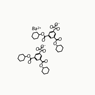 O=C(OC1CCCCC1)c1cc(C(=O)OC2CCCCC2)cc(S(=O)(=O)[O-])c1.O=C(OC1CCCCC1)c1cc(C(=O)OC2CCCCC2)cc(S(=O)(=O)[O-])c1.[Ba+2]